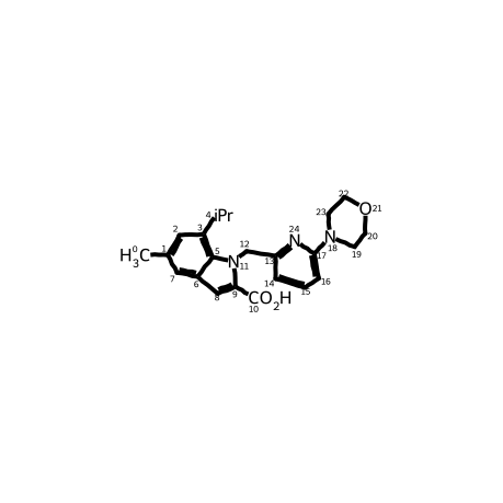 Cc1cc(C(C)C)c2c(c1)cc(C(=O)O)n2Cc1cccc(N2CCOCC2)n1